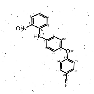 O=[N+]([O-])c1ccccc1Nc1ccc(Oc2ccc(F)cc2)cc1